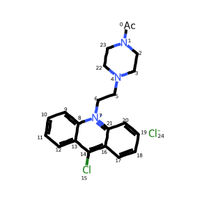 CC(=O)N1CCN(CC[n+]2c3ccccc3c(Cl)c3ccccc32)CC1.[Cl-]